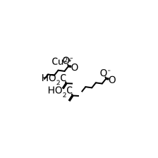 C=C(C)C(=O)O.C=C(C)C(=O)O.CCCCCC(=O)[O-].CCCCCC(=O)[O-].[Cu+2]